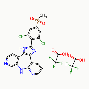 CS(=O)(=O)c1cc(Cl)c(-c2nc3c([nH]2)-c2ccncc2Nc2ncccc2-3)c(Cl)c1.O=C(O)C(F)(F)F.O=C(O)C(F)(F)F